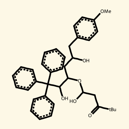 COc1ccc(CC(O)CC(OC(O)CC(=O)C(C)(C)C)C(O)C(c2ccccc2)(c2ccccc2)c2ccccc2)cc1